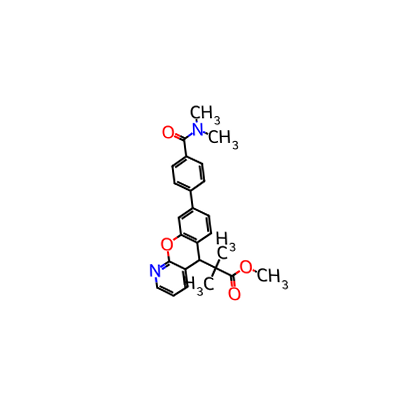 COC(=O)C(C)(C)C1c2ccc(-c3ccc(C(=O)N(C)C)cc3)cc2Oc2ncccc21